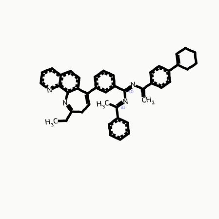 C=C(/N=C(\N=C(/C)c1ccccc1)c1cccc(C2=CCC(CC)=Nc3c2ccc2cccnc32)c1)c1ccc(C2=CCCCC2)cc1